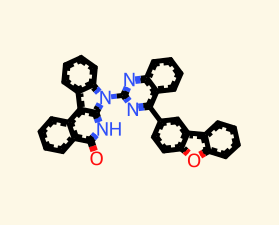 O=c1[nH]c2c(c3ccccc13)c1ccccc1n2-c1nc(-c2ccc3oc4ccccc4c3c2)c2ccccc2n1